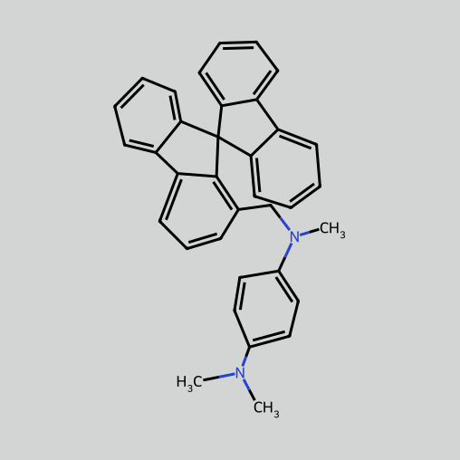 CN(C)c1ccc(N(C)Cc2cccc3c2C2(c4ccccc4-c4ccccc42)c2ccccc2-3)cc1